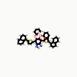 c1ccc(Oc2c(Oc3ccccc3)c(-c3ccc(-c4cccc5ccccc45)s3)c3nsnc3c2-c2ccc(-c3cccc4ccccc34)s2)cc1